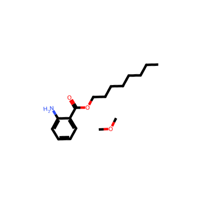 CCCCCCCCOC(=O)c1ccccc1N.COC